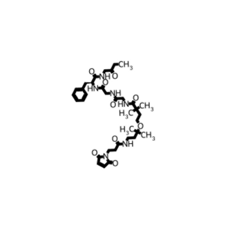 CCC(=O)CNC(=O)[C@H](Cc1ccccc1)NC(=O)CNC(=O)CNC(=O)C(C)(C)CCOC(C)(C)CCNC(=O)CCN1C(=O)C=CC1=O